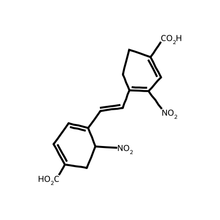 O=C(O)C1=CC([N+](=O)[O-])=C(/C=C/C2=CC=C(C(=O)O)CC2[N+](=O)[O-])CC1